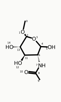 CO[C@H]1OC(O)[C@H](NC(C)=O)[C@@H](O)[C@@H]1O